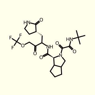 CC(C)(C)NC(=O)C(=O)N1CC2CCCC2[C@H]1C(=O)NC(C[C@@H]1CCNC1=O)C(=O)COC(F)(F)F